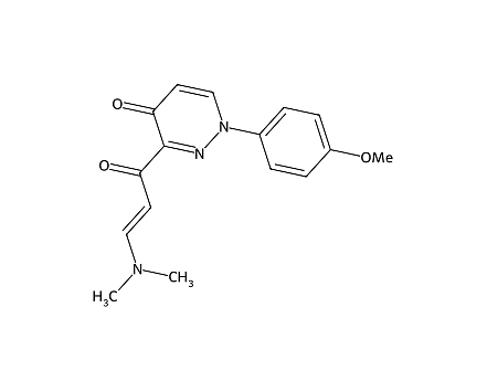 COc1ccc(-n2ccc(=O)c(C(=O)C=CN(C)C)n2)cc1